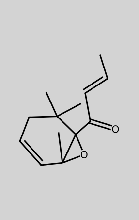 CC=CC(=O)C12OC1(C)C=CCC2(C)C